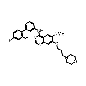 CNc1cc2c(Nc3cccc(-c4ccc(F)cc4F)c3)ncnc2cc1OCCCN1CCOCC1